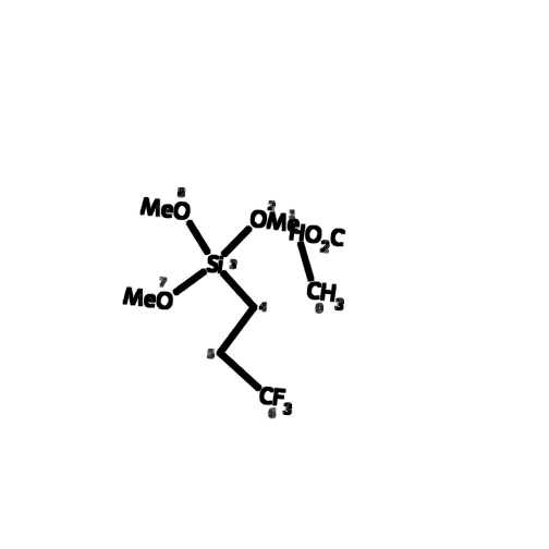 CC(=O)O.CO[Si](CCC(F)(F)F)(OC)OC